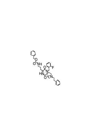 O=C(NCCC[C@@H]1NC(=O)C2(CCN(CCc3ccccc3)CC2)N(Cc2ccccc2F)C1=O)OCc1ccccc1